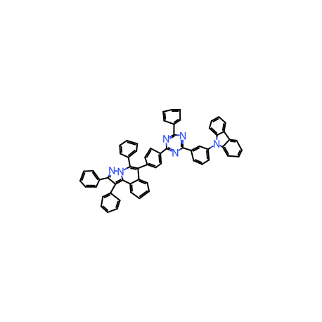 c1ccc(-c2nc(-c3ccc(-c4c(-c5ccccc5)n5nc(-c6ccccc6)c(-c6ccccc6)c5c5ccccc45)cc3)nc(-c3cccc(-n4c5ccccc5c5ccccc54)c3)n2)cc1